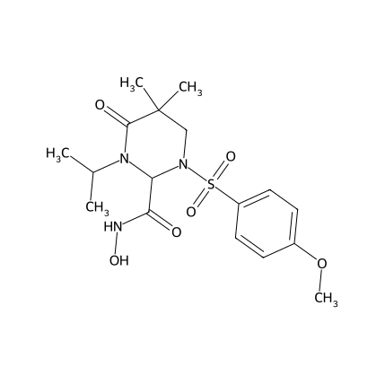 COc1ccc(S(=O)(=O)N2CC(C)(C)C(=O)N(C(C)C)C2C(=O)NO)cc1